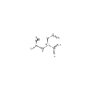 CC(O)Oc1cc[c]cc1F